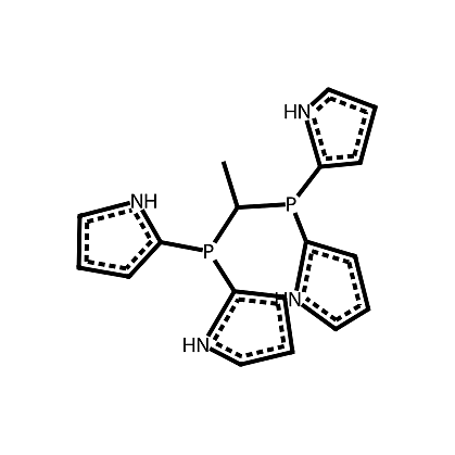 CC(P(c1ccc[nH]1)c1ccc[nH]1)P(c1ccc[nH]1)c1ccc[nH]1